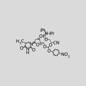 Cc1cn([C@H]2C[C@H](OP(OCCC#N)N(C(C)C)C(C)C)[C@@H](COC(=O)Oc3ccc([N+](=O)[O-])cc3)O2)c(=O)[nH]c1=O